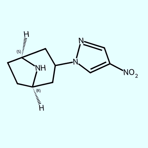 O=[N+]([O-])c1cnn(C2C[C@H]3CC[C@@H](C2)N3)c1